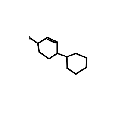 IC1C=CC(C2CCCCC2)CC1